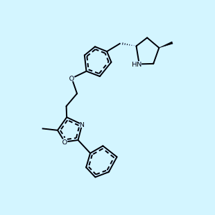 Cc1oc(-c2ccccc2)nc1CCOc1ccc(C[C@@H]2C[C@@H](C)CN2)cc1